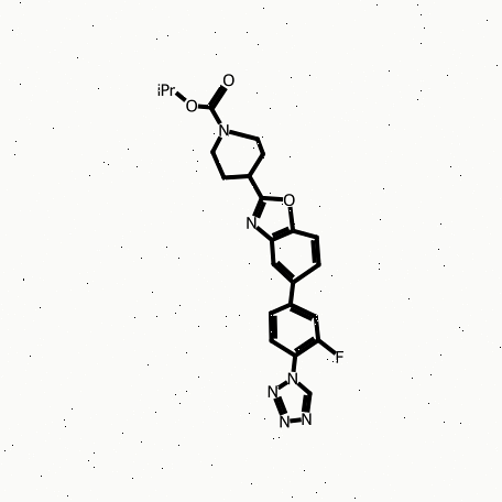 CC(C)OC(=O)N1CCC(c2nc3cc(-c4ccc(-n5cnnn5)c(F)c4)ccc3o2)CC1